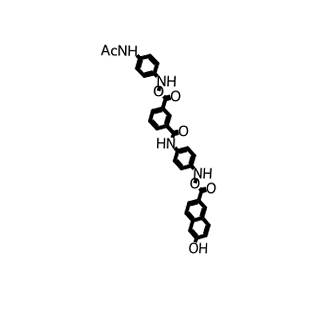 CC(=O)Nc1ccc(NOC(=O)c2cccc(C(=O)Nc3ccc(NOC(=O)c4ccc5cc(O)ccc5c4)cc3)c2)cc1